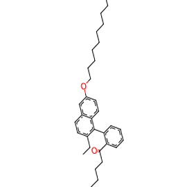 CCCCCCCCCCOc1ccc2c(-c3ccccc3C(=O)CCCC)c(CC)ccc2c1